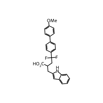 COc1ccc(-c2ccc(C(F)(F)CC(Cc3cc4ccccc4[nH]3)C(=O)O)cc2)cc1